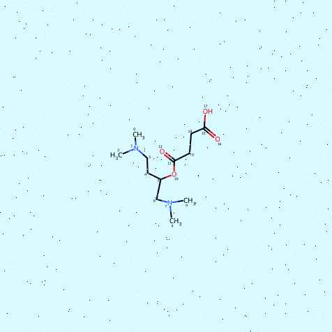 CN(C)CCC(CN(C)C)OC(=O)CCC(=O)O